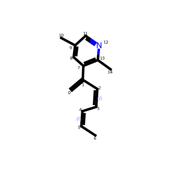 C=C(/C=C\C=C/C)c1cc(C)cnc1C